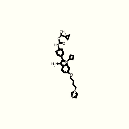 CC(OC(=O)Nc1ccc(-c2c(N)c3ccc(OCCCCn4ccnc4)cc3n2C2CCC2)cc1)C1CC1